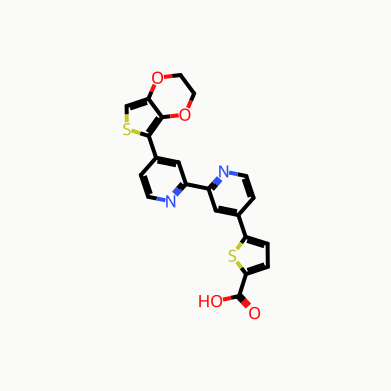 O=C(O)c1ccc(-c2ccnc(-c3cc(-c4scc5c4OCCO5)ccn3)c2)s1